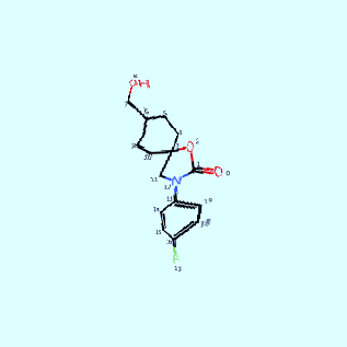 O=C1OC2(CCC(CO)CC2)CN1c1ccc(F)cc1